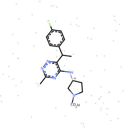 Cc1nnc(C(C)c2ccc(F)cc2)c(N[C@@H]2CCN(C(=O)O)C2)n1